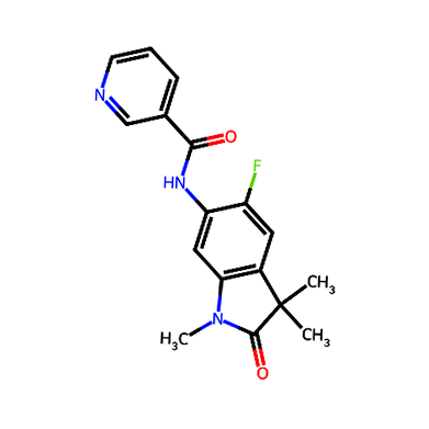 CN1C(=O)C(C)(C)c2cc(F)c(NC(=O)c3cccnc3)cc21